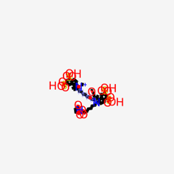 CC[N+]1=C(/C=C/C=C/C=C/C=C2/N(CCCCCC(=O)ON3C(=O)CCC3=O)c3ccc4c(S(=O)(=O)O)cc(S(=O)(=O)O)cc4c3C2(C)CCOC)C(C)(C)c2c1ccc1c(S(=O)(=O)O)cc(S(=O)(=O)O)cc21